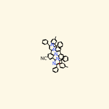 Cc1cccc(-c2ccc3c4ccc(-c5cccc(C)c5)cc4n(-c4c(-c5cc(-c6ccccc6)nc(-c6ccccc6)n5)cc(C#N)cc4-c4nc(-c5ccccc5)cc(-c5ccccc5)n4)c3c2)c1